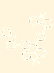 CC1(C)c2ccccc2-c2c(-c3ccc(N(c4ccc(-c5cccc6c5oc5ccccc56)cc4)c4cccc5c4-c4ccccc4C5(C)C)cc3)cccc21